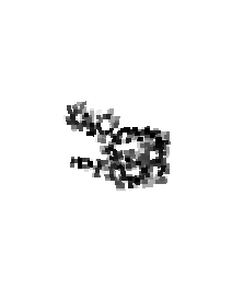 COC([C@@H]1CCC[C@@H](Sc2ncccn2)C1)[C@@H]1CC[C@H]1CN1CC2(CCCc3cc(Cl)ccc32)COc2ccc(C(=O)O)cc21